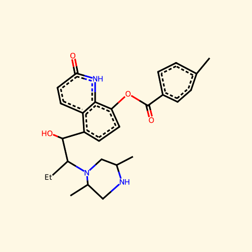 CCC(C(O)c1ccc(OC(=O)c2ccc(C)cc2)c2[nH]c(=O)ccc12)N1CC(C)NCC1C